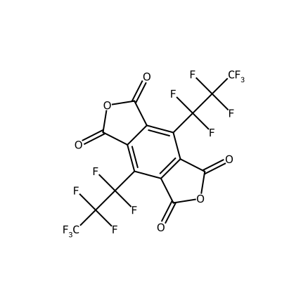 O=c1oc(=O)c2c(C(F)(F)C(F)(F)C(F)(F)F)c3c(=O)oc(=O)c3c(C(F)(F)C(F)(F)C(F)(F)F)c12